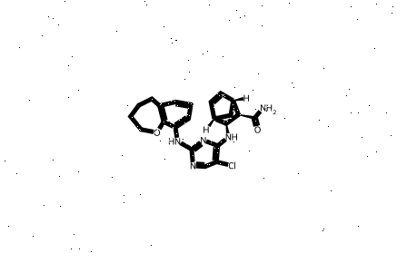 NC(=O)[C@H]1[C@@H](Nc2nc(Nc3cccc4c3OCCCC4)ncc2Cl)[C@@H]2C=C[C@H]1C2